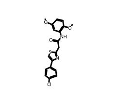 COc1ccc(OC)c(NC(=O)Cc2nc(-c3ccc(Cl)cc3)cs2)c1